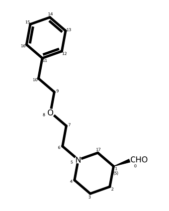 O=C[C@H]1CCCN(CCOCCc2ccccc2)C1